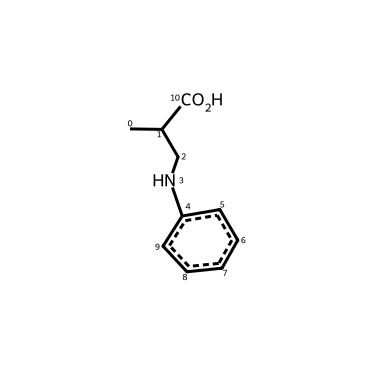 CC(CNc1ccccc1)C(=O)O